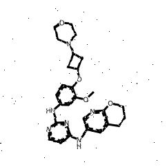 COc1cc(Nc2nccc(Nc3cnc4c(c3)CCCO4)n2)ccc1OC1CC(N2CCOCC2)C1